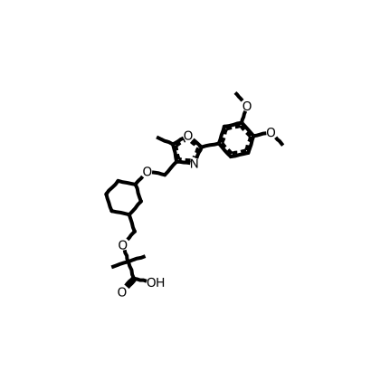 COc1ccc(-c2nc(COC3CCCC(COC(C)(C)C(=O)O)C3)c(C)o2)cc1OC